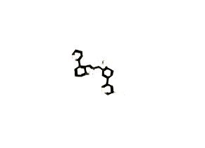 COc1cncc(-c2ccc3[nH]nc(-c4cc5c(-c6ccccn6)cccc5[nH]4)c3c2)c1